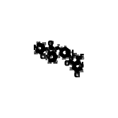 O=C(NC1=CC[C@H](Cn2c(=O)n(-c3ccncc3Cl)c3ncccc32)CC1)c1cc(Cl)cnc1C(F)F